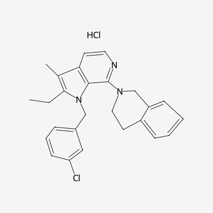 CCc1c(C)c2ccnc(N3CCc4ccccc4C3)c2n1Cc1cccc(Cl)c1.Cl